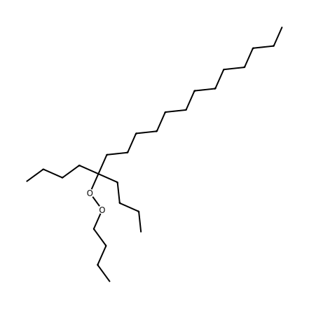 CCCCCCCCCCCCCC(CCCC)(CCCC)OOCCCC